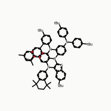 Cc1cc(C)c(-c2cc3c4c(c2)N(c2ccc5c(c2)C(C)(C)CCC5(C)C)c2c(sc5ccc(C(C)(C)C)cc25)B4c2ccc(N(c4ccc(C(C)(C)C)cc4)c4ccc(C(C)(C)C)cc4)cc2N3c2ccc(C(C)(C)C)cc2-c2ccc(C(C)(C)C)cc2)c(C)c1